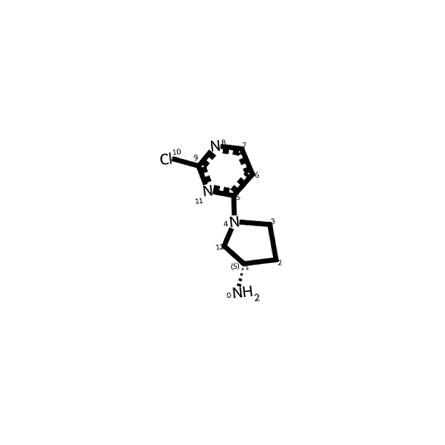 N[C@H]1CCN(c2ccnc(Cl)n2)C1